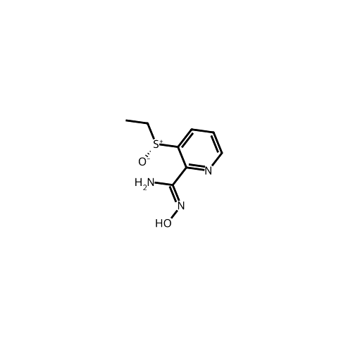 CC[S@@+]([O-])c1cccnc1C(N)=NO